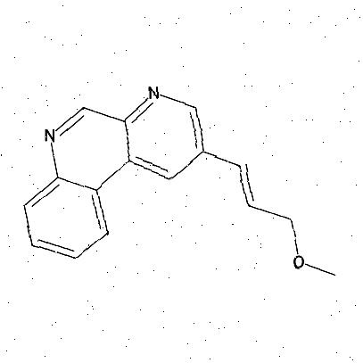 COCC=Cc1cnc2cnc3ccccc3c2c1